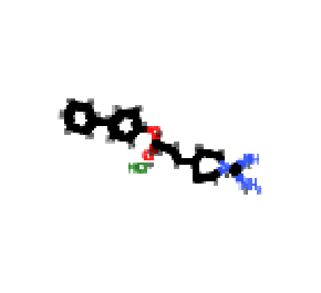 Cl.N=C(N)N1CCC(CCC(=O)Oc2ccc(-c3ccccc3)cc2)CC1